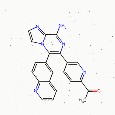 CC(=O)c1ccc(-c2nc(N)c3nccn3c2-c2ccc3ncccc3c2)cn1